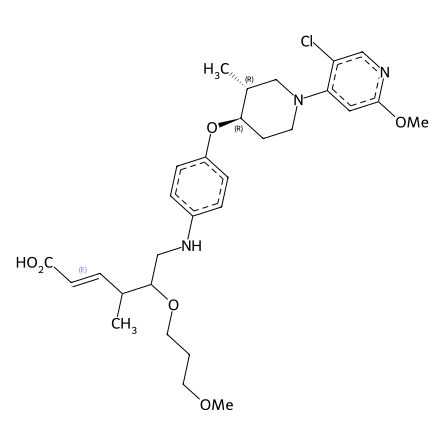 COCCCOC(CNc1ccc(O[C@@H]2CCN(c3cc(OC)ncc3Cl)C[C@H]2C)cc1)C(C)/C=C/C(=O)O